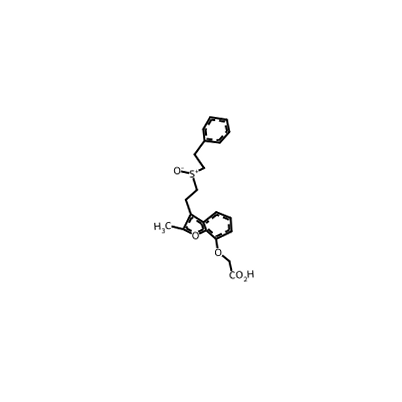 Cc1oc2c(OCC(=O)O)cccc2c1CC[S+]([O-])CCc1ccccc1